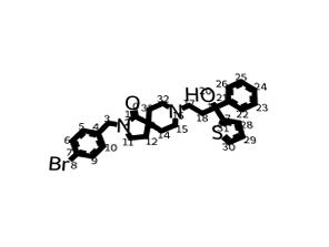 O=C1N(Cc2ccc(Br)cc2)CCC12CCN(CCC(O)(c1ccccc1)c1cccs1)CC2